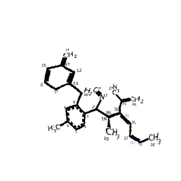 C=NC(c1ccc(C)cc1CC1=CC(=C)C=CC1)[C@H](C)/C(=C\C=C/C)C(=C)C